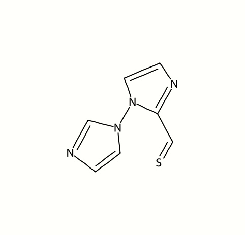 S=Cc1nccn1-n1ccnc1